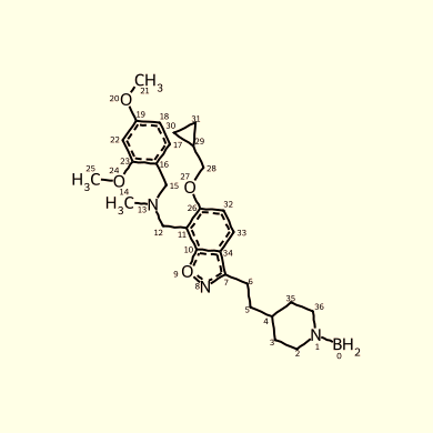 BN1CCC(CCc2noc3c(CN(C)Cc4ccc(OC)cc4OC)c(OCC4CC4)ccc23)CC1